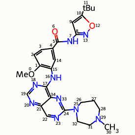 COc1ccc(C(=O)Nc2cc(C(C)(C)C)on2)cc1Nc1ncnc2cnc(N3CCCN(C)CC3)nc12